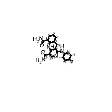 NC(=O)c1cccc2c1Nc1c(C(N)=O)cnc(Nc3ccc(F)cn3)c1C2